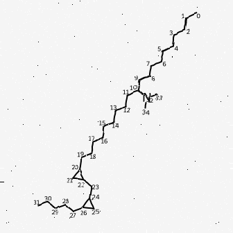 CCCCCCCCCCC(CCCCCCCCCC1CC1CC1CC1CCCCC)N(C)C